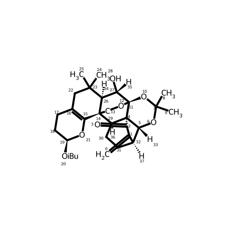 C=C1C(=O)[C@@]23[C@@H]4OC(C)(C)O[C@]25OC[C@]2(C6=C(CC[C@H](OCC(C)C)O6)CC(C)(C)[C@H]2[C@@H]5O)[C@@H]3CC[C@@H]14